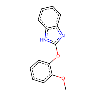 COc1ccccc1Oc1nc2ccccc2[nH]1